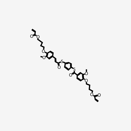 C=CC(=O)OCCCCOc1ccc(/C=C/C(=O)Sc2ccc(SC(=O)c3ccc(OCCCCOC(=O)C=C)c(OC)c3)cc2)cc1OC